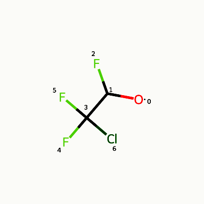 [O]C(F)C(F)(F)Cl